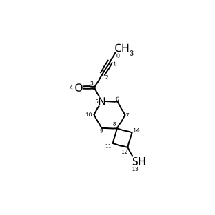 CC#CC(=O)N1CCC2(CC1)CC(S)C2